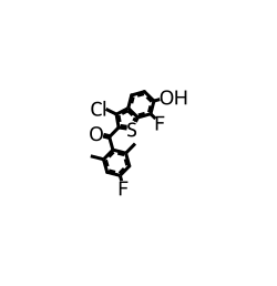 Cc1cc(F)cc(C)c1C(=O)c1sc2c(F)c(O)ccc2c1Cl